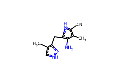 Cc1c[nH]nc1Cc1[nH]c(C#N)c(C)c1N